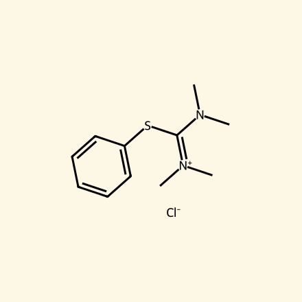 CN(C)C(Sc1ccccc1)=[N+](C)C.[Cl-]